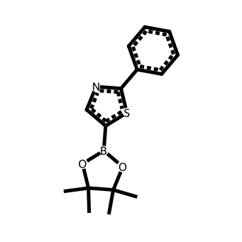 CC1(C)OB(c2cnc(-c3ccccc3)s2)OC1(C)C